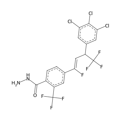 NNC(=O)c1ccc(/C(F)=C/C(c2cc(Cl)c(Cl)c(Cl)c2)C(F)(F)F)cc1C(F)(F)F